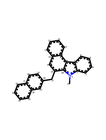 Cn1c2ccccc2c2c3ccccc3cc(Cc3ccc4ccccc4c3)c21